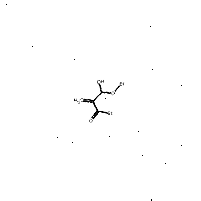 C=C(C(=O)CC)C(O)OCC